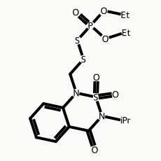 CCOP(=O)(OCC)SSCN1c2ccccc2C(=O)N(C(C)C)S1(=O)=O